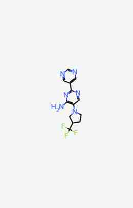 Nc1nc(-c2cncnc2)ncc1N1CCC(C(F)(F)F)C1